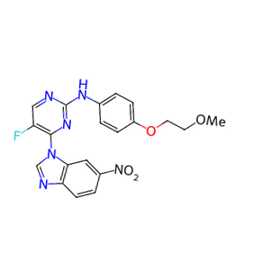 COCCOc1ccc(Nc2ncc(F)c(-n3cnc4ccc([N+](=O)[O-])cc43)n2)cc1